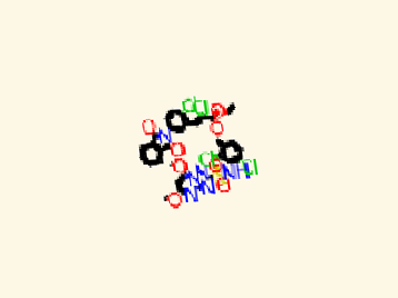 CCOC(=O)/C(Cl)=C/c1cc(N2C(=O)C3=C(CCCC3)C2=O)ccc1Cl.COc1cc(OC)n2nc(S(=O)(=O)Nc3c(Cl)ccc(C)c3Cl)nc2n1